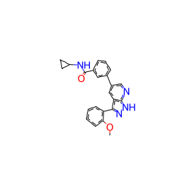 COc1ccccc1-c1n[nH]c2ncc(-c3cccc(C(=O)NC4CC4)c3)cc12